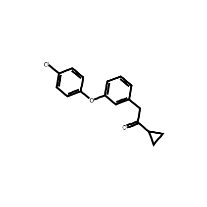 O=C(Cc1cccc(Oc2ccc(Cl)cc2)c1)C1CC1